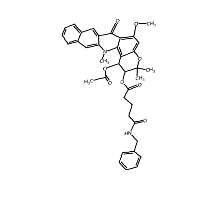 COc1cc2c(c3c1c(=O)c1cc4ccccc4cc1n3C)C(OC(C)=O)C(OC(=O)CCCC(=O)NCc1ccccc1)C(C)(C)O2